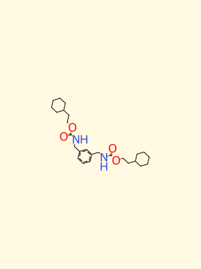 O=C(NCc1cccc(CNC(=O)OCCC2CCCCC2)c1)OCCC1CCCCC1